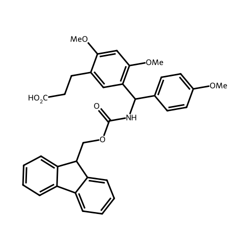 COc1ccc(C(NC(=O)OCC2c3ccccc3-c3ccccc32)c2cc(CCC(=O)O)c(OC)cc2OC)cc1